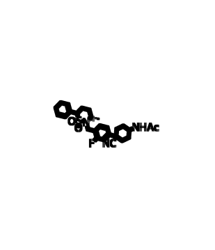 CC(=O)NC1CCC(C#N)(c2ccc(CN3[C@@H](C)CCC(C4=CCCC=C4)S3(=O)=O)c(F)c2)CC1